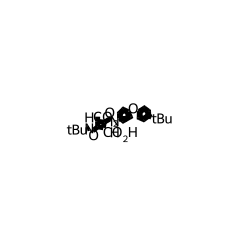 CC(C)(C)NC(=O)C1C(C(=O)O)C(C(=O)Nc2ccc(Oc3ccc(C(C)(C)C)cc3)cc2)C1C(=O)O